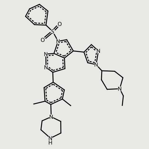 CCN1CCC(n2cc(-c3cn(S(=O)(=O)c4ccccc4)c4nnc(-c5cc(C)c(N6CCNCC6)c(C)c5)cc34)cn2)CC1